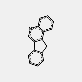 c1ccc2c(c1)Cc1c-2cnc2ccccc12